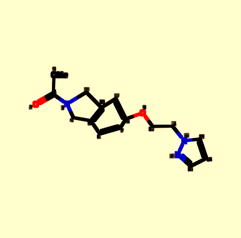 COC(=O)N1Cc2ccc(OCCn3cccn3)cc2C1